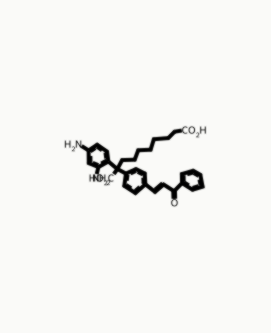 Nc1ccc(C(CCCCCCCC(=O)O)(C(=O)O)c2ccc(/C=C/C(=O)c3ccccc3)cc2)c(N)c1